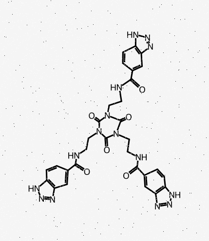 O=C(NCCn1c(=O)n(CCNC(=O)c2ccc3[nH]nnc3c2)c(=O)n(CCNC(=O)c2ccc3[nH]nnc3c2)c1=O)c1ccc2[nH]nnc2c1